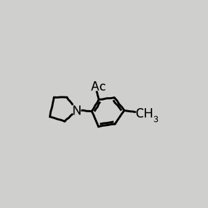 CC(=O)c1cc(C)ccc1N1CCCC1